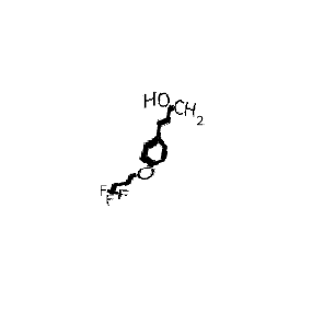 C=C(O)CCc1ccc(OCCCC(F)(F)F)cc1